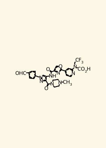 CN1CCN(C(=O)c2nn(-c3ccc(C=O)cc3)cc2NC(=O)c2coc(-c3ccnc(N(CC(F)(F)F)C(=O)O)c3)n2)CC1